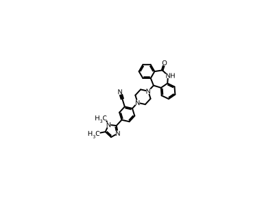 Cc1cnc(-c2ccc(N3CCN(C4c5ccccc5NC(=O)c5ccccc54)CC3)c(C#N)c2)n1C